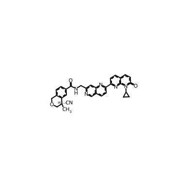 C[C@@]1(C#N)COCc2ccc(C(=O)NCc3cc4nc(-c5ccc6ccc(=O)n(C7CC7)c6n5)ccc4cn3)cc21